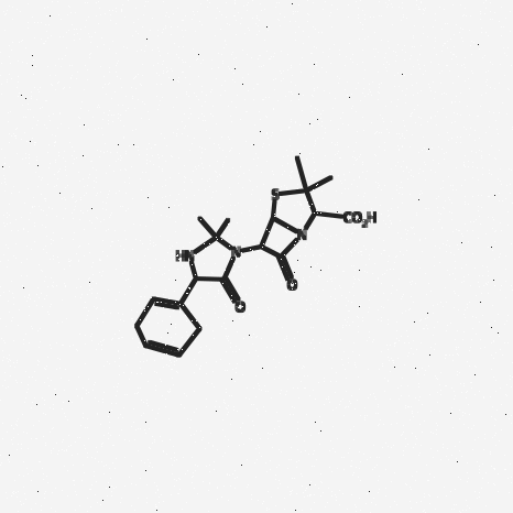 CC1(C)SC2C(N3C(=O)C(C4=CCC=CC4)NC3(C)C)C(=O)N2C1C(=O)O